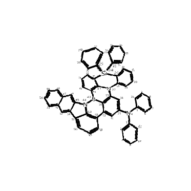 c1ccc(N(c2ccccc2)c2cc3c4c(c2)N2c5ccccc5[Si](c5ccccc5)(c5ccccc5)c5cccc(c52)B4n2c4cc5ccccc5cc4c4cccc-3c42)cc1